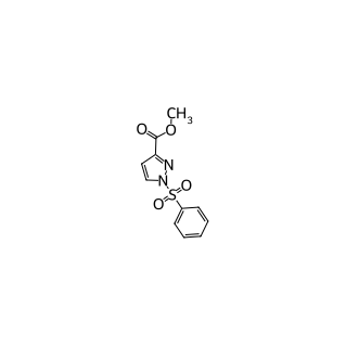 COC(=O)c1ccn(S(=O)(=O)c2ccccc2)n1